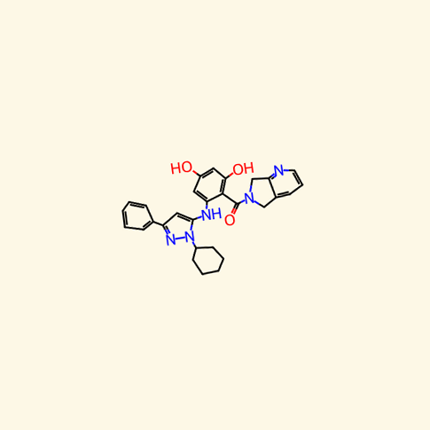 O=C(c1c(O)cc(O)cc1Nc1cc(-c2ccccc2)nn1C1CCCCC1)N1Cc2cccnc2C1